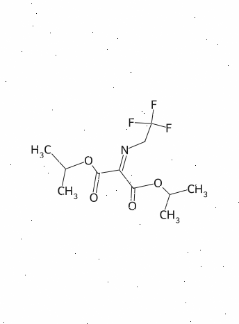 CC(C)OC(=O)C(=NCC(F)(F)F)C(=O)OC(C)C